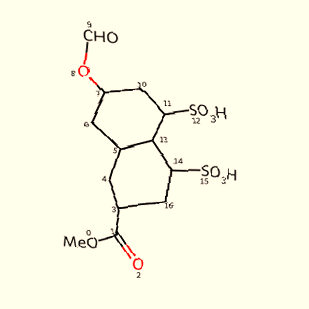 COC(=O)C1CC2CC(OC=O)CC(S(=O)(=O)O)C2C(S(=O)(=O)O)C1